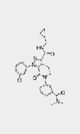 CN(C)C(=O)c1cccc(N2CCc3c(C(=O)NCC4CC4)nn(-c4cccc(Cl)c4)c3C2=O)c1